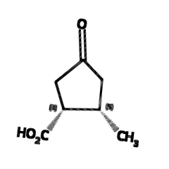 C[C@H]1CC(=O)C[C@H]1C(=O)O